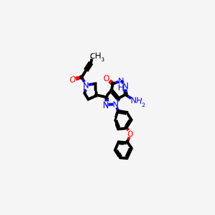 CC#CC(=O)N1CCC(c2nn(-c3ccc(Oc4ccccc4)cc3)c3c(N)n[nH]c(=O)c23)C1